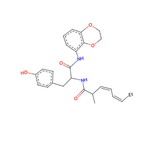 CC/C=C\C=C/C(C)C(=O)NC(Cc1ccc(O)cc1)C(=O)Nc1cccc2c1OCCO2